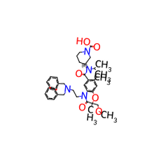 COCC1(C)Oc2cc(C)c(C(=O)N(C(C)C)[C@@H]3CCCN(C(=O)O)C3)cc2N(CCN(Cc2ccccc2)Cc2ccccc2)C1=O